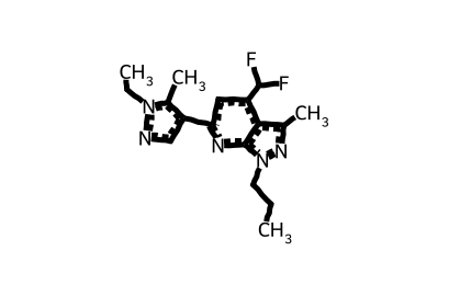 CCCn1nc(C)c2c(C(F)F)cc(-c3cnn(CC)c3C)nc21